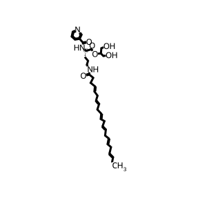 CCC=CCC=CCC=CCC=CCC=CCC=CCCC(=O)NCCC[C@H](NC(=O)c1cccnc1)C(=O)OC(CO)CO